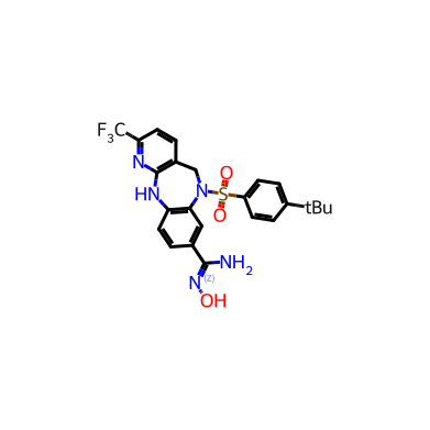 CC(C)(C)c1ccc(S(=O)(=O)N2Cc3ccc(C(F)(F)F)nc3Nc3ccc(/C(N)=N/O)cc32)cc1